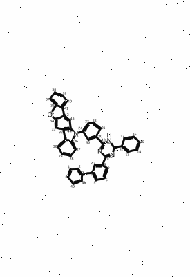 c1ccc(-c2cccc(C3=NC(c4ccccc4)NC(c4cccc(-n5c6ccccc6c6cc7oc8ccccc8c7cc65)c4)=N3)c2)cc1